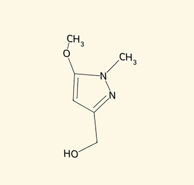 COc1cc(CO)nn1C